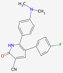 CN(C)c1ccc(-c2[nH]c(=O)c(C#N)cc2-c2ccc(F)cc2)cc1